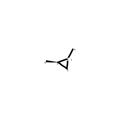 C[C@@H]1CI1C